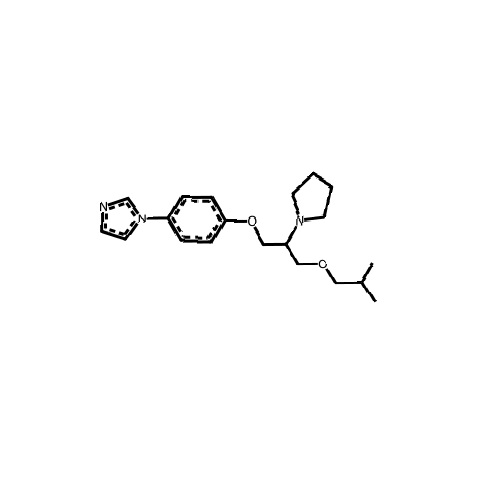 CC(C)COCC(COc1ccc(-n2ccnc2)cc1)N1CCCC1